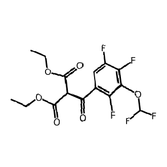 CCOC(=O)C(C(=O)OCC)C(=O)c1cc(F)c(F)c(OC(F)F)c1F